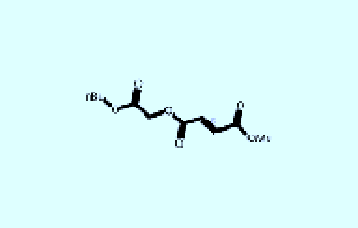 CCCCOC(=O)COC(=O)/C=C/C(=O)OC